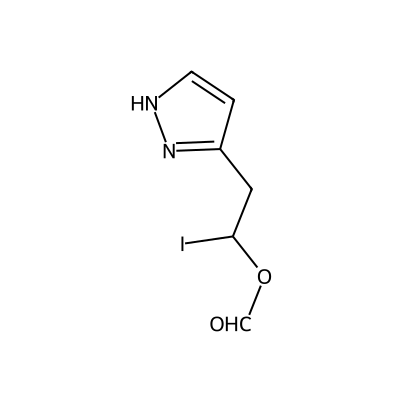 O=COC(I)Cc1cc[nH]n1